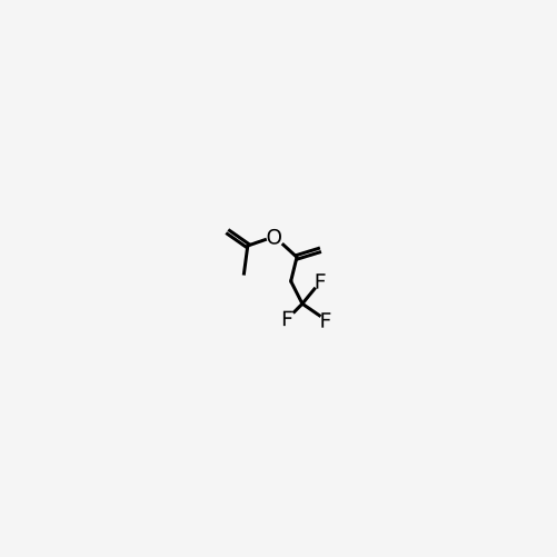 C=C(C)OC(=C)CC(F)(F)F